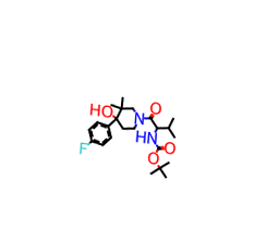 CC(C)C(NC(=O)OC(C)(C)C)C(=O)N1CCC(O)(c2ccc(F)cc2)C(C)(C)C1